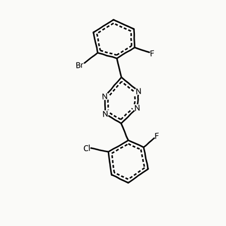 Fc1cccc(Cl)c1-c1nnc(-c2c(F)cccc2Br)nn1